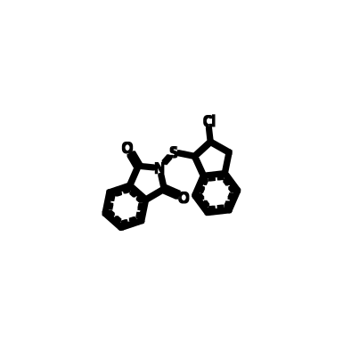 O=C1c2ccccc2C(=O)N1SC1c2ccccc2CC1Cl